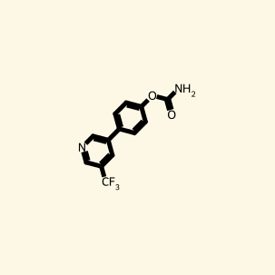 NC(=O)Oc1ccc(-c2cncc(C(F)(F)F)c2)cc1